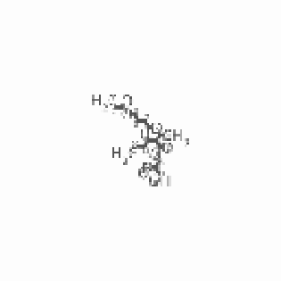 C=CC(=O)OCCCC(=O)OC(C)C(CCCC)C(=O)OCC(CO)N=O